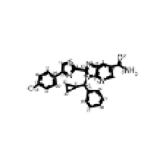 NC(=O)c1cnc2c(c1)nc(-c1nc(-c3ccc(Cl)cc3)cs1)n2C(c1ccccc1)C1CC1